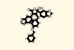 O=C1OC(O)(c2ccc3c(c2)OCO3)C(Cc2ccc(OCc3ccccc3)cc2)=C1c1ccc2nsnc2c1